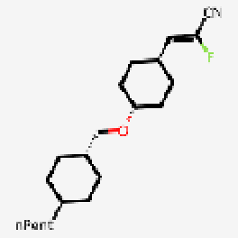 CCCCC[C@H]1CC[C@H](CO[C@H]2CC[C@H](C=C(F)C#N)CC2)CC1